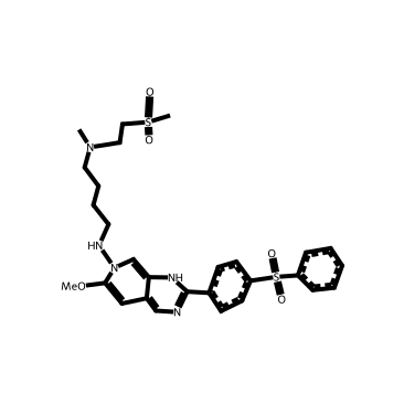 COC1=CC2=CN=C(c3ccc(S(=O)(=O)c4ccccc4)cc3)NC2=CN1NCCCCN(C)CCS(C)(=O)=O